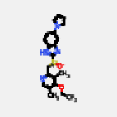 Cc1cnc(C[S@+]([O-])c2nc3cc(-n4cccc4)ccc3[nH]2)c(C)c1OCC(F)(F)F